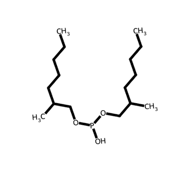 CCCCCC(C)COP(O)OCC(C)CCCCC